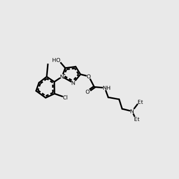 CCN(CC)CCCNC(=O)Oc1cc(O)n(-c2c(C)cccc2Cl)n1